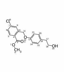 COC(=O)c1ccc(Cl)cc1COc1ccc(CCO)cc1